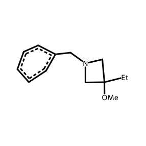 CCC1(OC)CN(Cc2ccccc2)C1